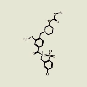 CCS(=O)(=O)c1ccc(Cl)cc1CNC(=O)c1ccc(CN2CCC[C@H](NC(=O)OC(C)(C)C)C2)c(OC(F)(F)F)c1